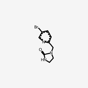 O=C1NCCN1Cc1ccc(Br)cn1